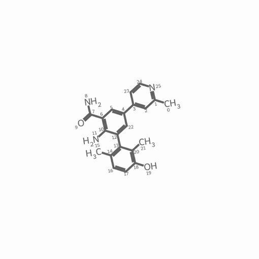 Cc1cc(-c2cc(C(N)=O)c(N)c(-c3c(C)ccc(O)c3C)c2)ccn1